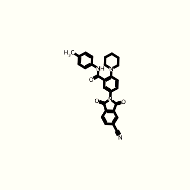 Cc1ccc(NC(=O)c2cc(N3C(=O)c4ccc(C#N)cc4C3=O)ccc2N2CCCCC2)cc1